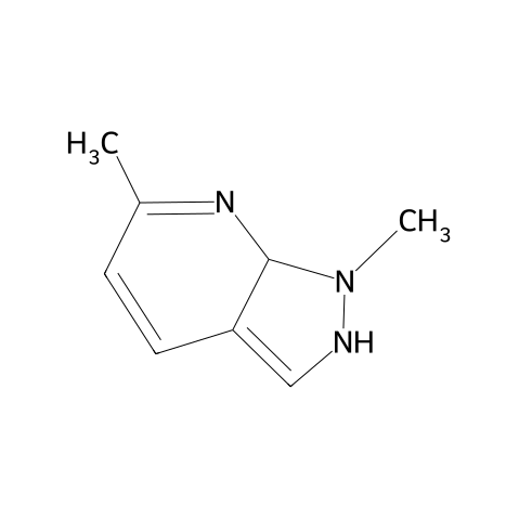 CC1=NC2C(=CNN2C)C=C1